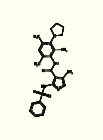 Cc1cc(C)c(N2CCCC2)c(C)c1NC(=O)c1c(C)csc1NS(=O)(=O)c1ccccc1